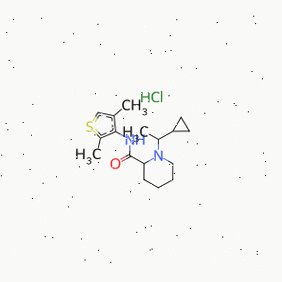 Cc1csc(C)c1NC(=O)C1CCCCN1C(C)C1CC1.Cl